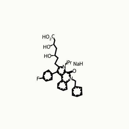 CC(C)n1c(CC[C@@H](O)C[C@@H](O)CC(=O)O)c(-c2ccc(F)cc2)c2c3ccccc3n(Cc3ccccc3)c(=O)c21.[NaH]